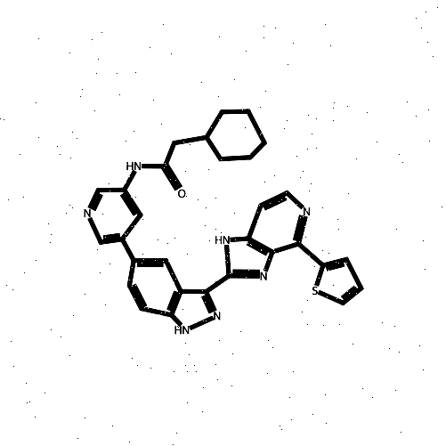 O=C(CC1CCCCC1)Nc1cncc(-c2ccc3[nH]nc(-c4nc5c(-c6cccs6)nccc5[nH]4)c3c2)c1